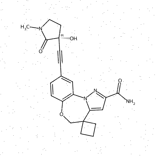 CN1CC[C@@](O)(C#Cc2ccc3c(c2)-n2nc(C(N)=O)cc2C2(CCC2)CO3)C1=O